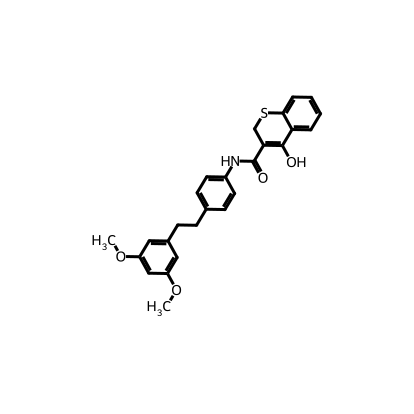 COc1cc(CCc2ccc(NC(=O)C3=C(O)c4ccccc4SC3)cc2)cc(OC)c1